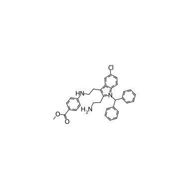 COC(=O)c1ccc(NCCc2c(CCN)n(C(c3ccccc3)c3ccccc3)c3ccc(Cl)cc23)cc1